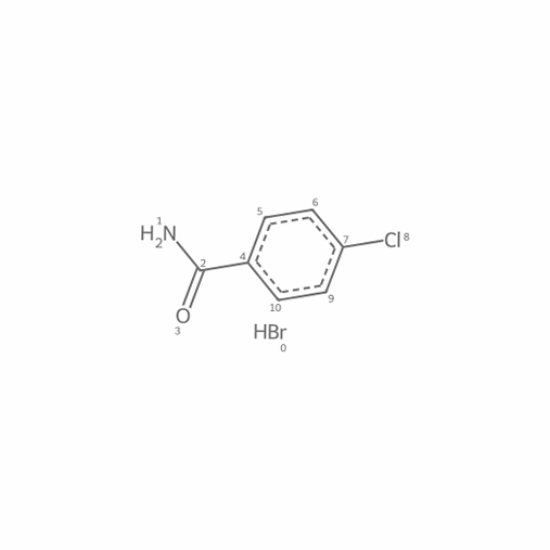 Br.NC(=O)c1ccc(Cl)cc1